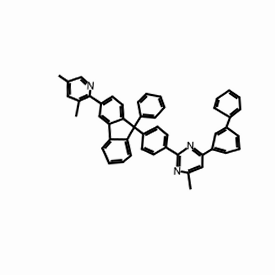 Cc1cnc(-c2ccc3c(c2)-c2ccccc2C3(c2ccccc2)c2ccc(-c3nc(C)cc(-c4cccc(-c5ccccc5)c4)n3)cc2)c(C)c1